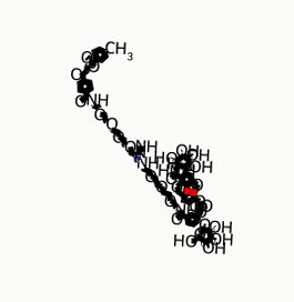 Cc1ccc(S(=O)(=O)CCC(=O)c2ccc(C(=O)NCCOCCOCCOCCOC/C(=C/NCCOCCOCCOCCNC(=O)c3ccc(O[C@@H]4O[C@H](CO)[C@H](O)[C@H](O)[C@H]4O)c(OS(=O)(=O)Oc4ccc(COc5c6c(cc7c5C(=O)N[C@H]5[C@H](O)[C@H](O)[C@@H](O)[C@H](O)[C@H]75)OCO6)cc4)c3)N=N)cc2)cc1